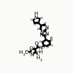 Cc1nc(C)c(C(=O)Nc2ccc(F)c(-c3nc4ncc(C5=CCNC5)cn4n3)c2)o1